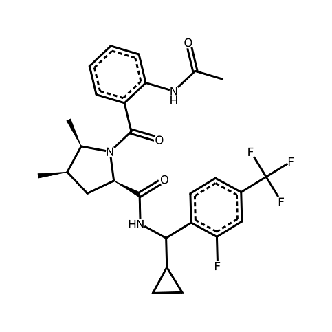 CC(=O)Nc1ccccc1C(=O)N1[C@@H](C(=O)NC(c2ccc(C(F)(F)F)cc2F)C2CC2)C[C@@H](C)[C@H]1C